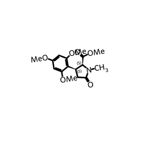 COC(=O)[C@@H]1[C@H](c2c(OC)cc(OC)cc2OC)CC(=O)N1C